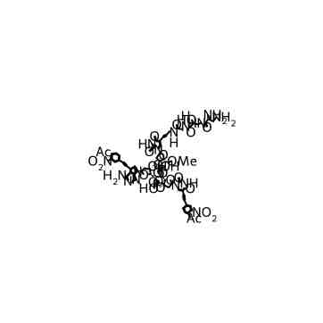 COC[C@H]1O[C@@H](n2cc(C#CCNC(=O)CNC(=O)C(O)CNC(=O)C(N)CN)c(=O)[nH]c2=O)C[C@@H]1OP(=O)(O)OC[C@H]1O[C@@H](n2cc(C#Cc3ccc(C(C)=O)c([N+](=O)[O-])c3)c(=O)[nH]c2=O)C[C@@H]1OP(=O)(O)OC[C@H]1O[C@@H](n2cc(C#Cc3ccc(C(C)=O)c([N+](=O)[O-])c3)c3c(N)ncnc32)C[C@@H]1O